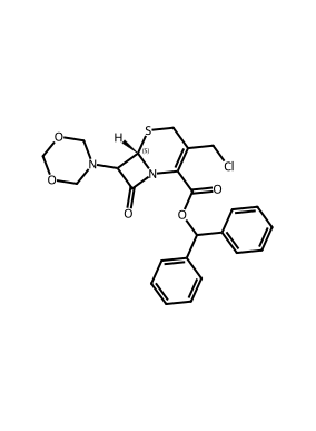 O=C(OC(c1ccccc1)c1ccccc1)C1=C(CCl)CS[C@H]2C(N3COCOC3)C(=O)N12